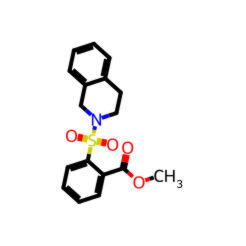 COC(=O)c1ccccc1S(=O)(=O)N1CCc2ccccc2C1